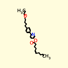 CCCC/C=C\CCCC(=O)Oc1ccc(-c2ccc(CCCCCOCCC)cc2)nc1